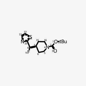 CC(C)(C)OC(=O)N1CCC(=C(F)c2nccs2)CC1